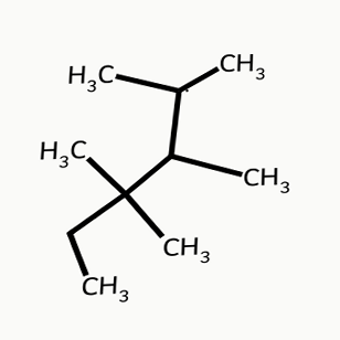 CCC(C)(C)C(C)[C](C)C